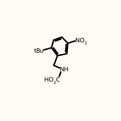 CC(C)(C)c1ccc([N+](=O)[O-])cc1CNC(=O)O